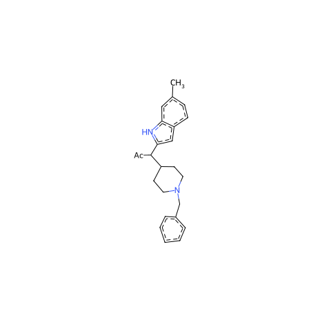 CC(=O)C(c1cc2ccc(C)cc2[nH]1)C1CCN(Cc2ccccc2)CC1